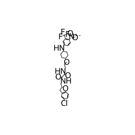 O=C(NCCOC1CCC(Nc2ccc([N+](=O)[O-])c(C(F)(F)F)c2)CC1)C(=O)NCC1Cc2cc(Cl)ccc2O1